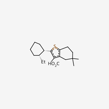 CC[C@@H]1CCCC[C@@H]1c1sc2c(c1C(=O)O)CC(C)(C)CC2